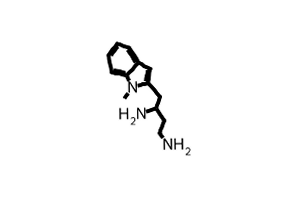 Cn1c(CC(N)CCN)cc2ccccc21